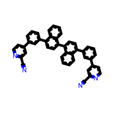 N#Cc1cc(-c2cccc(-c3ccc(-c4ccc(-c5cccc(-c6ccnc(C#N)c6)c5)c5ccccc45)c4ccccc34)c2)ccn1